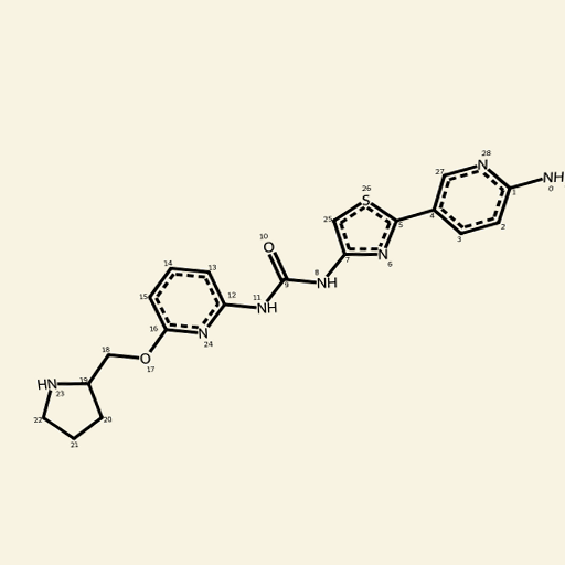 Nc1ccc(-c2nc(NC(=O)Nc3cccc(OCC4CCCN4)n3)cs2)cn1